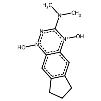 CN(C)c1n[n+](O)c2cc3c(cc2[n+]1O)CCC3